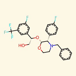 OC[C@@H](O[C@H]1OCCN(Cc2ccccc2)[C@H]1c1ccc(F)cc1)c1cc(F)cc(C(F)(F)F)c1